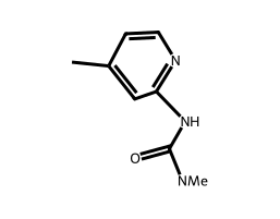 CNC(=O)Nc1cc(C)ccn1